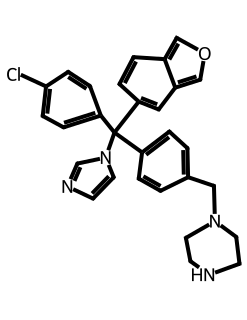 Clc1ccc(C(c2ccc(CN3CCNCC3)cc2)(c2ccc3cocc3c2)n2ccnc2)cc1